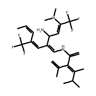 C=C(C)/C(C(=C)N/C=C(/C=C(\C=C/C)C(F)(F)F)C(N)/C=C(\N(C)C)C(F)(F)F)=C(/C)C(C)C